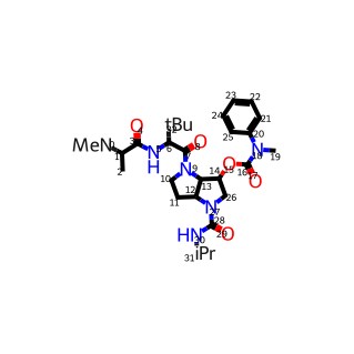 CNC(C)C(=O)NC(C(=O)N1CCC2C1C(OC(=O)N(C)c1ccccc1)CN2C(=O)NC(C)C)C(C)(C)C